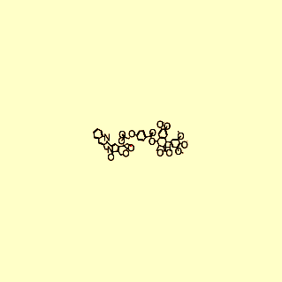 CC[C@@]1(OC(=O)COc2ccc(C(=O)O[C@H]3c4cc5c(cc4[C@@H](c4cc(OC)c(OC)c(OC)c4)[C@H]4C(=O)OCC34)OCO5)cc2)C(=O)OCc2c1cc1n(c2=O)Cc2cc3ccccc3nc2-1